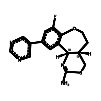 NC1=N[C@@H]2c3cc(-c4cncnc4)cc(F)c3OCC[C@@H]2CS1